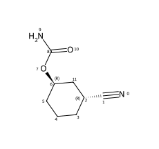 N#C[C@@H]1CCC[C@@H](OC(N)=O)C1